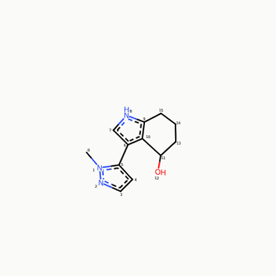 Cn1nccc1-c1c[nH]c2c1C(O)CCC2